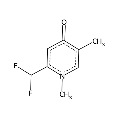 Cc1cn(C)c(C(F)F)cc1=O